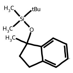 CC1(O[Si](C)(C)C(C)(C)C)CCc2c[c]ccc21